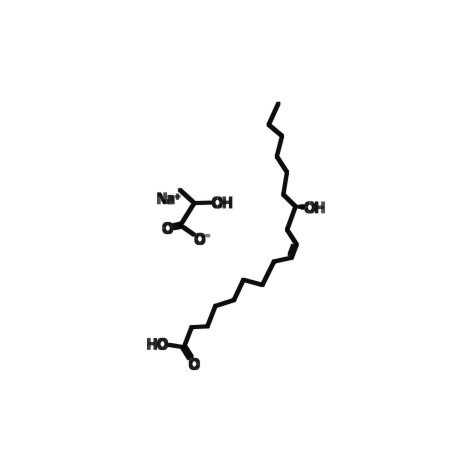 CC(O)C(=O)[O-].CCCCCC[C@@H](O)C/C=C\CCCCCCCC(=O)O.[Na+]